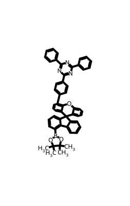 CC1(C)OB(c2cccc3c2-c2ccccc2C32c3ccccc3Oc3c(-c4ccc(-c5nc(-c6ccccc6)nc(-c6ccccc6)n5)cc4)cccc32)OC1(C)C